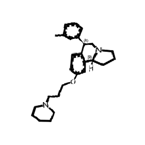 Cc1cccc([C@H]2CN3CCC[C@@H]3c3cc(OCCCN4CCCCC4)ccc32)c1